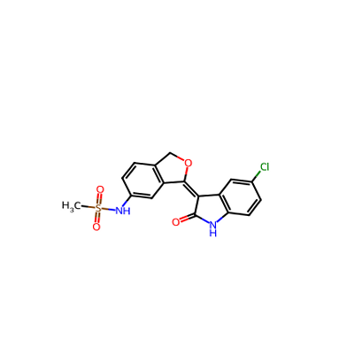 CS(=O)(=O)Nc1ccc2c(c1)C(=C1C(=O)Nc3ccc(Cl)cc31)OC2